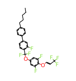 CCCCCc1ccc(-c2ccc(C(F)(F)Oc3cc(F)c(O/C=C/C(F)(F)F)c(F)c3)c(F)c2)cc1